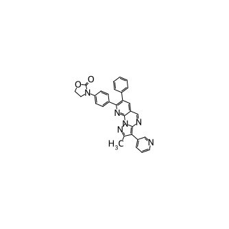 Cc1nn2c(ncc3cc(-c4ccccc4)c(-c4ccc(N5CCOC5=O)cc4)nc32)c1-c1cccnc1